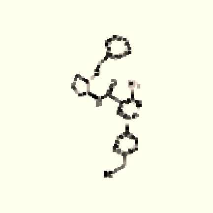 N#CCc1ccc(-c2cnc(N)c(C(=O)N[C@H]3CCC[C@@H]3OCc3ccccc3)c2)cc1